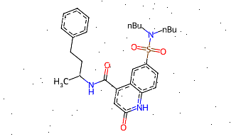 CCCCN(CCCC)S(=O)(=O)c1ccc2[nH]c(=O)cc(C(=O)NC(C)CCc3ccccc3)c2c1